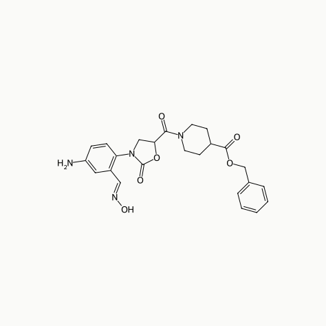 Nc1ccc(N2CC(C(=O)N3CCC(C(=O)OCc4ccccc4)CC3)OC2=O)c(C=NO)c1